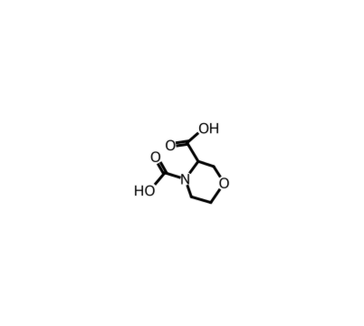 O=C(O)C1COCCN1C(=O)O